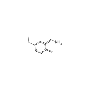 C=c1ccc(CC)c/c1=C/N